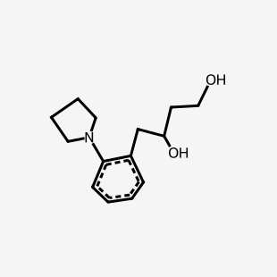 OCCC(O)Cc1ccccc1N1CCCC1